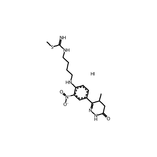 CSC(=N)NCCCCNc1ccc(C2=NNC(=O)CC2C)cc1[N+](=O)[O-].I